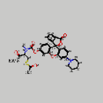 CCC(=O)SC[C@@H](C(=O)NC)N(C)C(=O)Oc1ccc2c(c1)Oc1cc(N3CCCCC3)ccc1C21OC(=O)c2ccccc21